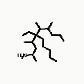 CCCCCC(CC)(C(C)CC(C)N)C(C)C(C)CCC